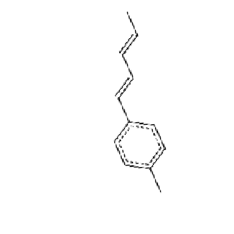 CC=CC=Cc1ccc(C)cc1